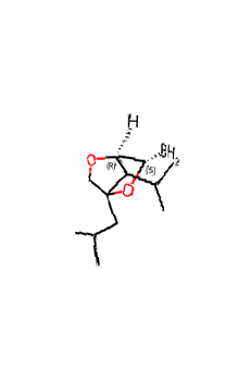 B[C@@H]1OC2(CC(C)C)CO[C@@H]1C2C(C)C